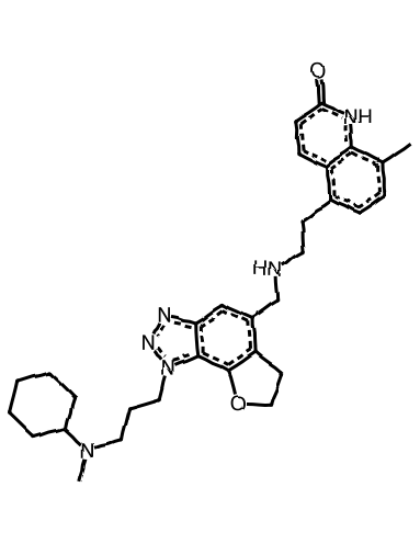 Cc1ccc(CCNCc2cc3nnn(CCCN(C)C4CCCCC4)c3c3c2CCO3)c2ccc(=O)[nH]c12